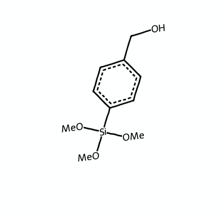 CO[Si](OC)(OC)c1ccc(CO)cc1